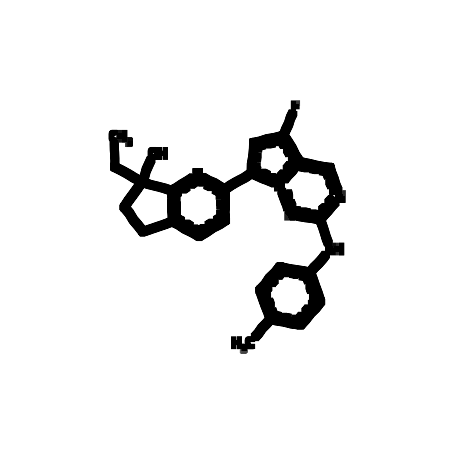 CCC1(O)CCc2ccc(-c3cc(F)c4cnc(Nc5ccc(C)cc5)nn34)nc21